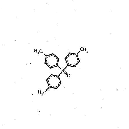 Cc1cc[c]([Bi](=[O])([c]2ccc(C)cc2)[c]2ccc(C)cc2)cc1